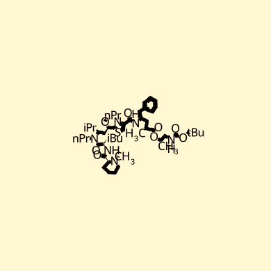 CCCO[C@H](C[C@H](C(C)C)N(CCC)C(=O)[C@@H](NC(=O)[C@H]1CCCCN1C)[C@@H](C)CC)c1nc(C(=O)NC(Cc2ccccc2)C[C@H](C)C(=O)OC(C)CNC(=O)OC(C)(C)C)cs1